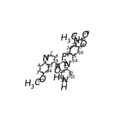 COc1ccc2nccc([C@H](O)CN(Cc3cc4oc(=O)n(C)c4cc3F)C3CCNCC3)c2c1